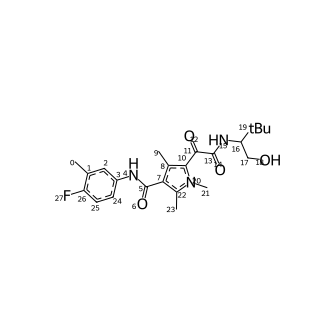 Cc1cc(NC(=O)c2c(C)c(C(=O)C(=O)NC(CO)C(C)(C)C)n(C)c2C)ccc1F